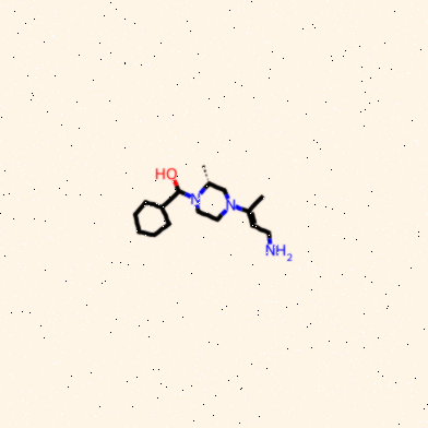 C/C(=C\CN)N1CCN(C(O)C2CCCCC2)[C@H](C)C1